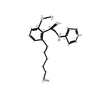 CCCCCCCCCCCCCCCc1cccc(OCC)c1C(=O)Nc1ccncc1